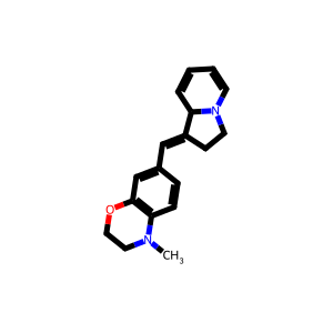 CN1CCOc2cc(/C=C3\CCN4C=CC=CC34)ccc21